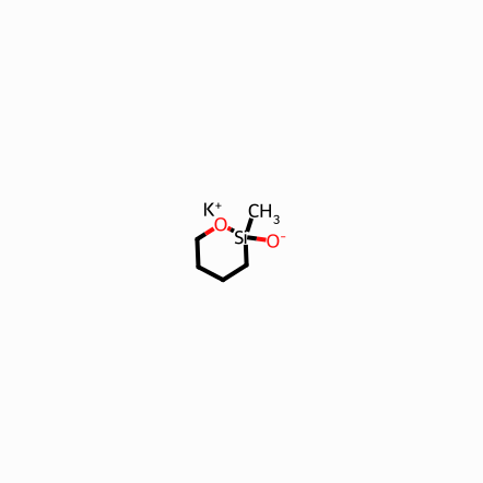 C[Si]1([O-])CCCCO1.[K+]